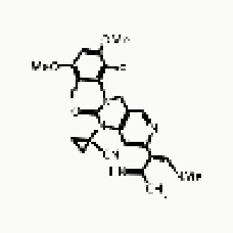 CN/C=C(\C(C)=N)c1cc2c(cn1)CN(c1c(F)c(OC)cc(OC)c1F)C(=O)N2C1(C#N)CC1